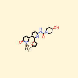 Cc1ccc(-c2nc(NC(=O)N3CCC(O)CC3)ccc2-c2ccc(=O)n(C(C)C)c2)o1